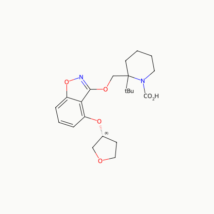 CC(C)(C)C1(COc2noc3cccc(O[C@@H]4CCOC4)c23)CCCCN1C(=O)O